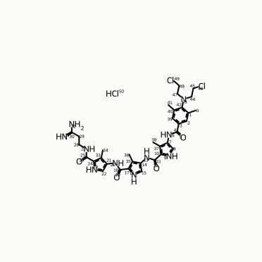 Cc1cc(C(=O)Nc2c[nH]c(C(=O)Nc3c[nH]c(C(=O)Nc4c[nH]c(C(=O)NCCC(=N)N)c4C)c3C)c2C)cc(C)c1N(CCCl)CCCl.Cl